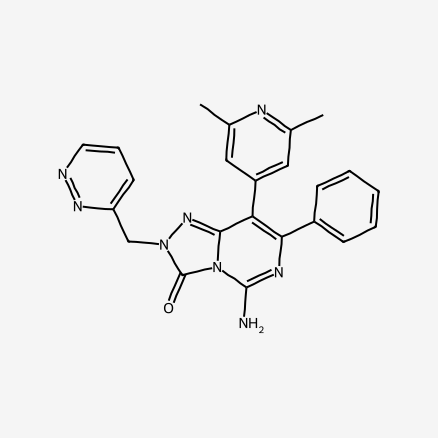 Cc1cc(-c2c(-c3ccccc3)nc(N)n3c(=O)n(Cc4cccnn4)nc23)cc(C)n1